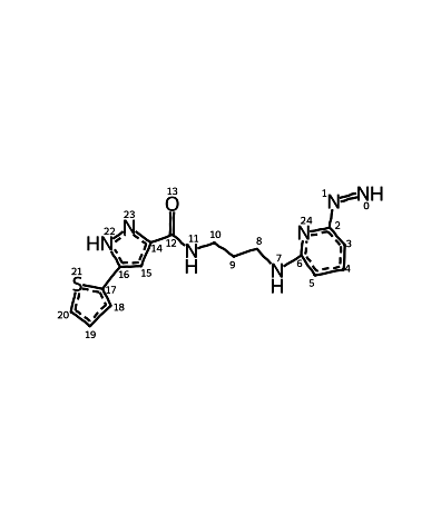 N=Nc1cccc(NCCCNC(=O)c2cc(-c3cccs3)[nH]n2)n1